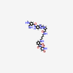 CNc1ccc(C(=O)Nc2ccc3[nH]c(CN4CCC(CC(=O)NCCCCCNc5cccc6c5C(=O)N(C5CCC(=O)NC5=O)C6=O)C4)nc3c2)cc1C=N